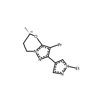 CCn1cc(-c2nn3c(c2C(C)C)O[C@@H](C)CC3)cn1